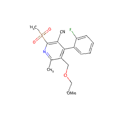 COCOCc1c(C)nc(S(C)(=O)=O)c(C#N)c1-c1ccccc1F